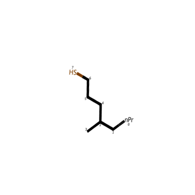 CCCCC(C)CCCS